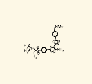 CNCc1ccc(-c2nnc(-c3nc(-c4ccc(S(=O)(=O)C(C)CN(C)C)cc4)cnc3N)o2)cc1